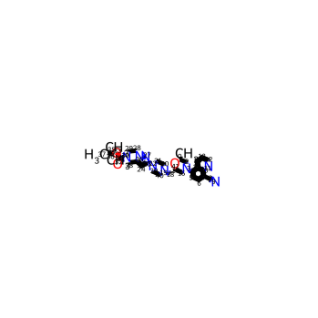 C[C@@H]1CN(c2ccc(C#N)c3ncccc23)C[C@H](CN2CCN(c3cc4n(n3)CCN(C(=O)OC(C)(C)C)C4)CC2)O1